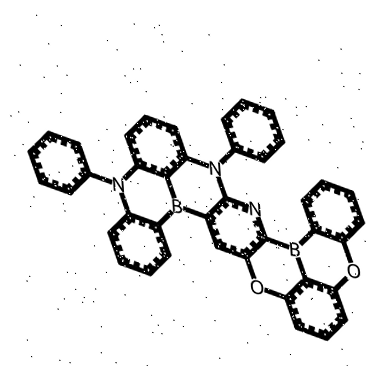 c1ccc(N2c3ccccc3B3c4cc5c(nc4N(c4ccccc4)c4cccc2c43)B2c3ccccc3Oc3cccc(c32)O5)cc1